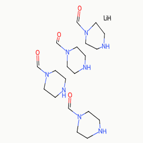 O=CN1CCNCC1.O=CN1CCNCC1.O=CN1CCNCC1.O=CN1CCNCC1.[LiH]